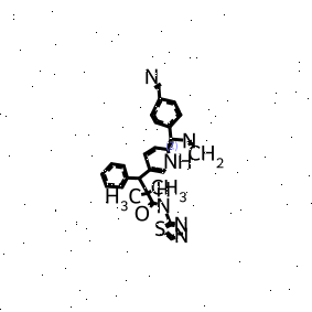 C=N/C(=C1/C=CC(C(c2ccccc2)C(C)(C)C(=O)Nc2nncs2)=CN1)c1ccc(C#N)cc1